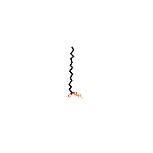 CCCCCCCCCCCCCCCC(=O)OP